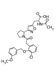 COc1cccc(COc2c(Cl)cccc2CC(=O)N2CCCC2c2cc(CC(NC(C)=O)C(=O)O)on2)c1